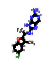 Cc1c(C(Nc2nc3cnc(N)nc3[nH]2)C(F)(F)F)oc2ccc(F)cc12